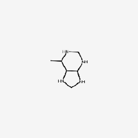 CC1NCNC2NCNC12